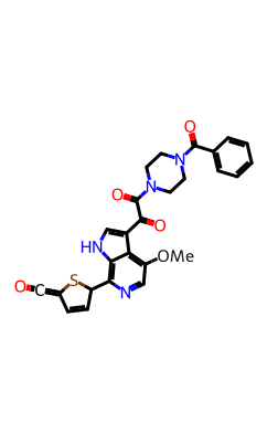 COc1cnc(C2C=CC(=C=O)S2)c2[nH]cc(C(=O)C(=O)N3CCN(C(=O)c4ccccc4)CC3)c12